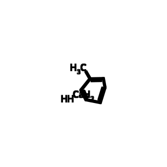 Cc1ccccc1.[CaH2].[HH]